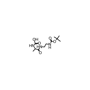 CC(NC(=O)O)C(=O)NCCNC(=O)OC(C)(C)C